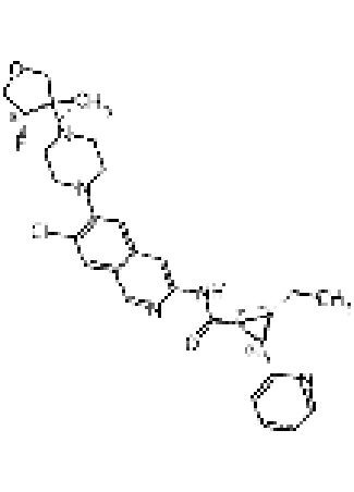 CC[C@H]1[C@H](C(=O)Nc2cc3cc(N4CCN([C@@]5(C)COC[C@H]5F)CC4)c(Cl)cc3cn2)[C@H]1c1ccccn1